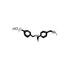 NCc1ccc(C(=O)NCc2ccc(C(=O)O)cc2)cc1